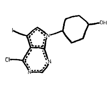 OC1CCC(n2cc(I)c3c(Cl)ncnc32)CC1